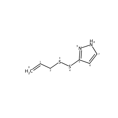 C=CCSSc1cc[nH]n1